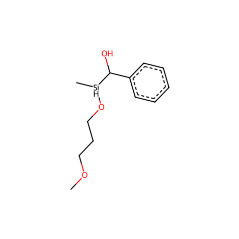 COCCCO[SiH](C)C(O)c1ccccc1